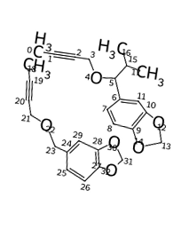 CC#CCOC(c1ccc2c(c1)OCO2)C(C)C.CC#CCOCc1ccc2c(c1)OCO2